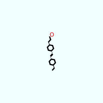 CC[C@H]1CC[C@H](C=C[C@H]2CC[C@H](CCC=O)CC2)CC1